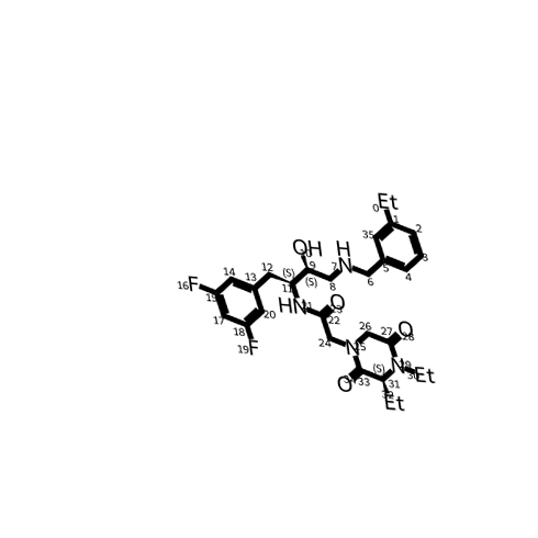 CCc1cccc(CNC[C@H](O)[C@H](Cc2cc(F)cc(F)c2)NC(=O)CN2CC(=O)N(CC)[C@@H](CC)C2=O)c1